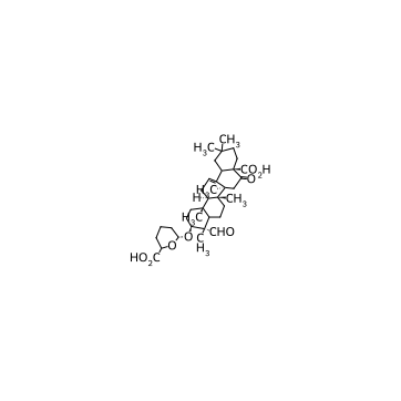 CC1(C)CC[C@]2(C(=O)O)C(=O)C[C@]3(C)C(=CC[C@@H]4[C@@]5(C)CC[C@H](O[C@H]6CCCC(C(=O)O)O6)[C@@](C)(C=O)C5CC[C@]43C)C2C1